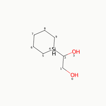 OCC(O)[SiH]1CCCCC1